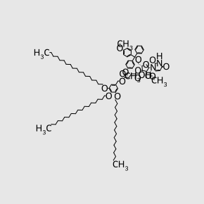 CCCCCCCCCCCCCCCCCCOc1cc(COC(=O)CCC(=O)OC2(O)C(OOC)[C@@H](n3ccc(=O)[nH]c3=O)O[C@H]2COC(c2ccccc2)(c2ccc(OC)cc2)c2ccc(OC)cc2)cc(OCCCCCCCCCCCCCCCCCC)c1OCCCCCCCCCCCCCCCCCC